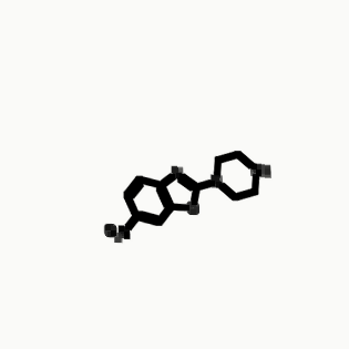 O=[N+]([O-])c1ccc2nc(N3CCNCC3)oc2c1